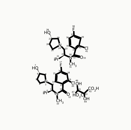 CC(C)[C@@H](CN1CC[C@H](O)C1)N(C)C(=O)c1ccc(F)cc1Cl.CC(C)[C@@H](CN1CC[C@H](O)C1)N(C)C(=O)c1ccc(F)cc1Cl.O=C(O)C(O)C(O)C(=O)O